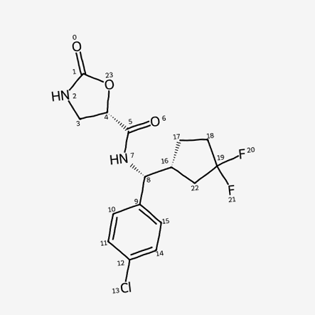 O=C1NC[C@@H](C(=O)N[C@@H](c2ccc(Cl)cc2)[C@@H]2CCC(F)(F)C2)O1